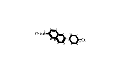 CCCCCc1ccc2cc([C@H]3CC[C@H](CC)CC3)ccc2c1